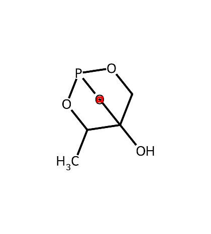 CC1OP2OCC1(O)CO2